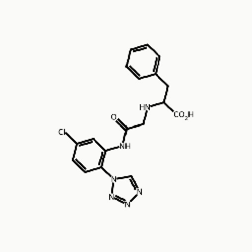 O=C(CNC(Cc1ccccc1)C(=O)O)Nc1cc(Cl)ccc1-n1cnnn1